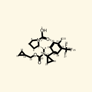 O=C(O)N1CCC[C@H]1CN(C(=O)OCC1CC1)C1(c2ccc(F)c(C(F)(F)F)c2)CC1